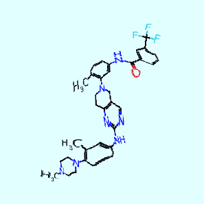 Cc1cc(Nc2ncc3c(n2)CCN(c2cc(NC(=O)c4cccc(C(F)(F)F)c4)ccc2C)C3)ccc1N1CCN(C)CC1